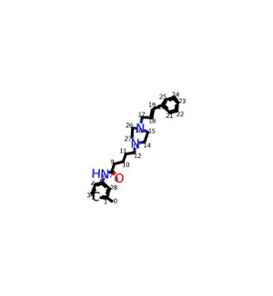 Cc1cccc(NC(=O)CCCCN2CCN(CC=Cc3ccccc3)CC2)c1